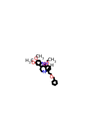 CCOC(=O)C12C[C@@H]3CC(CCOCc4ccccc4)C1N(CCc1c2[nH]c2cc(OC)c(OC)cc12)C3